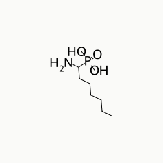 CCCCCCC(N)P(=O)(O)O